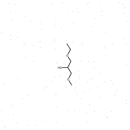 CCOCC(O)COI